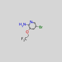 Nc1ncc(Br)cc1OCC(F)(F)F